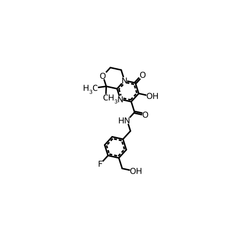 CC1(C)OCCn2c1nc(C(=O)NCc1ccc(F)c(CO)c1)c(O)c2=O